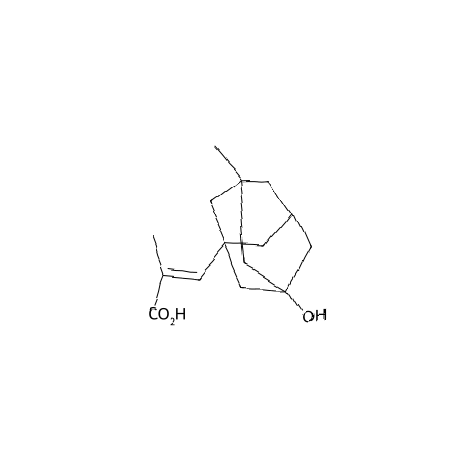 CC(=CC12CC3CC(C)(CC(O)(C3)C1)C2)C(=O)O